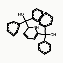 OC([C]1C=CC=C(C(O)(c2ccccc2)c2ccccc2)N1)(c1ccccc1)c1ccccc1